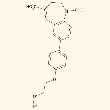 CC(C)OCCOc1ccc(-c2ccc3c(c2)C=C(C(=O)O)CCN3C=O)cc1